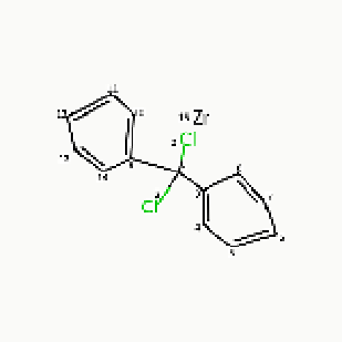 ClC(Cl)(c1ccccc1)c1ccccc1.[Zr]